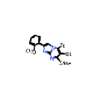 CCc1c(SC)nc2nc(-c3ccccc3C=O)cn2c1CC